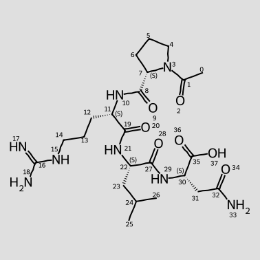 CC(=O)N1CCC[C@H]1C(=O)N[C@@H](CCCNC(=N)N)C(=O)N[C@@H](CC(C)C)C(=O)N[C@@H](CC(N)=O)C(=O)O